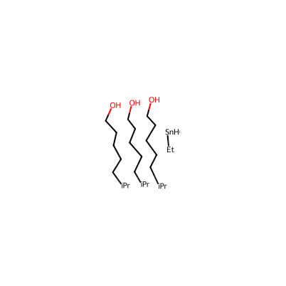 CC(C)CCCCCO.CC(C)CCCCCO.CC(C)CCCCCO.C[CH2][SnH]